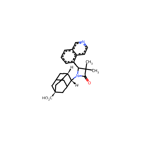 CC1(C)C(=O)N([C@@H]2C3CC4C[C@H]2C[C@@](C(=O)O)(C4)C3)C1c1cccc2cnccc12